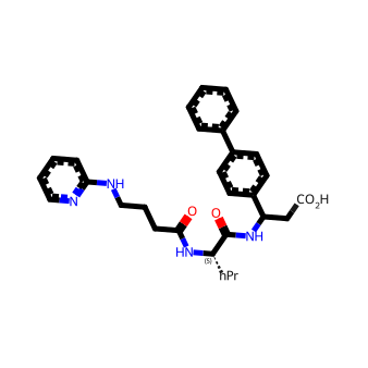 CCC[C@H](NC(=O)CCCNc1ccccn1)C(=O)NC(CC(=O)O)c1ccc(-c2ccccc2)cc1